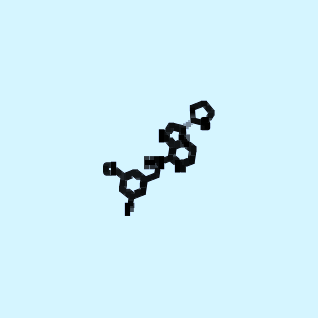 Fc1cc(Cl)cc(CNc2nccn3c([C@@H]4CCCS4)cnc23)c1